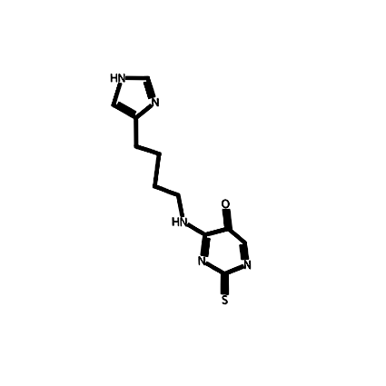 O=C1C=NC(=S)N=C1NCCCCc1c[nH]cn1